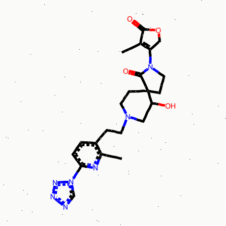 CC1=C(N2CCC3(CCN(CCc4ccc(-n5cnnn5)nc4C)CC3O)C2=O)COC1=O